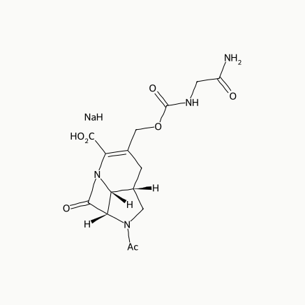 CC(=O)N1C[C@H]2CC(COC(=O)NCC(N)=O)=C(C(=O)O)N3C(=O)[C@@H]1[C@@H]23.[NaH]